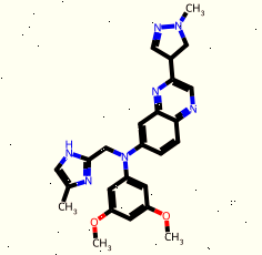 COc1cc(OC)cc(N(Cc2nc(C)c[nH]2)c2ccc3ncc(C4C=NN(C)C4)nc3c2)c1